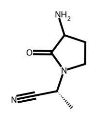 C[C@H](C#N)N1CCC(N)C1=O